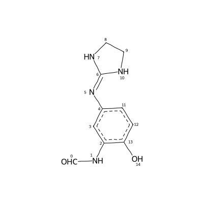 O=CNc1cc(N=C2NCCN2)ccc1O